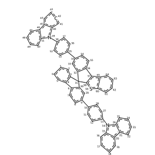 c1ccc2c(c1)-c1ccc(-c3ccc(-n4c5ccccc5c5ccccc54)cc3)cc1C21c2cc(-c3ccc(-n4c5ccccc5c5ccccc54)cc3)ccc2-c2c1sc1ccccc21